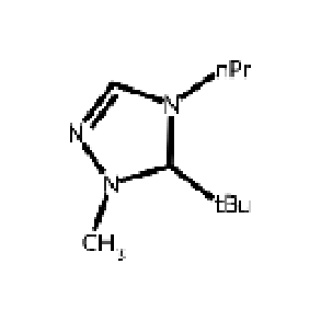 CCCN1C=NN(C)C1C(C)(C)C